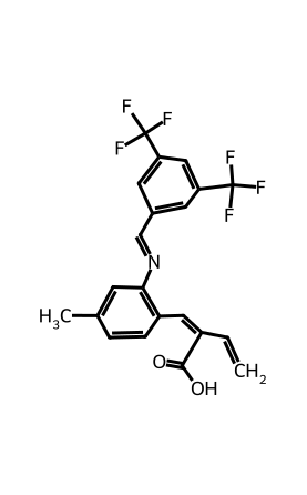 C=CC(=Cc1ccc(C)cc1N=Cc1cc(C(F)(F)F)cc(C(F)(F)F)c1)C(=O)O